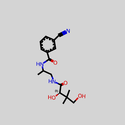 CC(CNC(=O)[C@H](O)C(C)(C)CO)NC(=O)c1cccc(C#N)c1